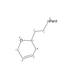 CCCCCCCC1CC=CCO1